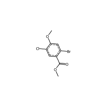 COC(=O)c1cc(Cl)c(OC)cc1Br